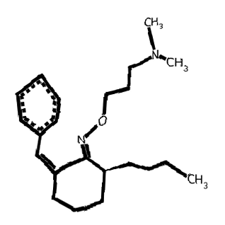 CCCC[C@H]1CCCC(=Cc2ccccc2)C1=NOCCCN(C)C